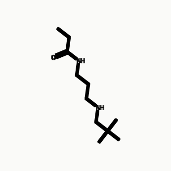 CCC(=O)NCCCNCC(C)(C)C